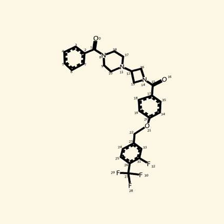 O=C(c1ccccc1)N1CCN(C2CN(C(=O)c3ccc(OCc4ccc(C(F)(F)F)c(F)c4)cc3)C2)CC1